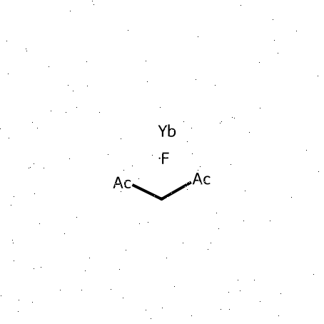 CC(=O)CC(C)=O.[F].[Yb]